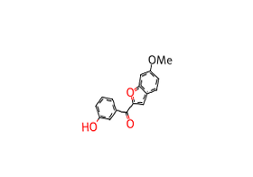 COc1ccc2cc(C(=O)c3cccc(O)c3)oc2c1